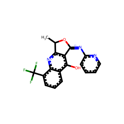 CC1O/C(=N/c2ccccn2)c2c1nc1c(C(F)(F)F)cccc1c2O